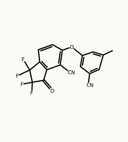 Cc1cc(C#N)cc(Oc2ccc3c(c2C#N)C(=O)C(F)(F)C3(F)F)c1